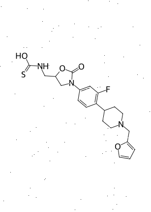 O=C1OC(CNC(O)=S)CN1c1ccc(C2CCN(Cc3ccco3)CC2)c(F)c1